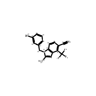 Cc1cc2c(C(F)(F)F)c(C#N)ccc2n1Cc1cccc(Br)c1